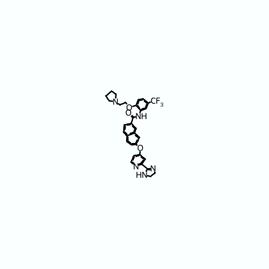 O=C(Nc1cc(C(F)(F)F)ccc1OCCN1CCCC1)c1ccc2ccc(Oc3ccnc(C4=NCCN4)c3)cc2c1